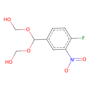 O=[N+]([O-])c1cc(C(OCO)OCO)ccc1F